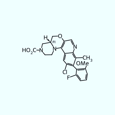 COc1cccc(F)c1-c1c(Cl)cc2c3c(cnc2c1C)OC[C@H]1CN(C(=O)O)CCN31